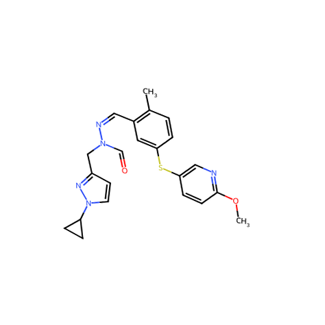 COc1ccc(Sc2ccc(C)c(/C=N\N(C=O)Cc3ccn(C4CC4)n3)c2)cn1